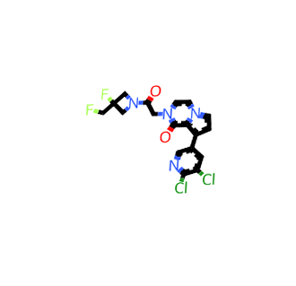 O=C(Cn1ccn2ccc(-c3cnc(Cl)c(Cl)c3)c2c1=O)N1CC(F)(CF)C1